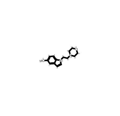 Oc1ccc2c([c]cn2CCN2CCOCC2)c1